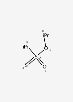 CC(C)OS(=O)(=S)C(C)C